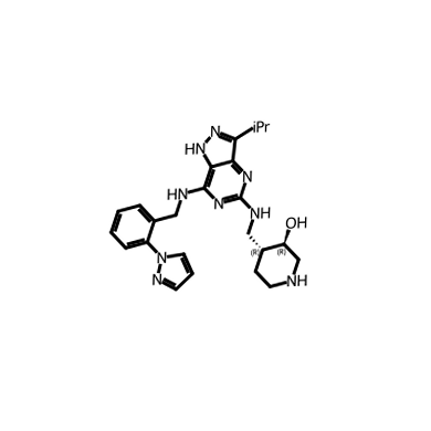 CC(C)c1n[nH]c2c(NCc3ccccc3-n3cccn3)nc(NC[C@H]3CCNC[C@@H]3O)nc12